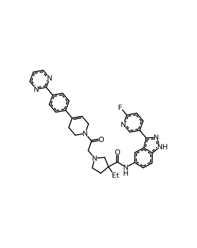 CCC1(C(=O)Nc2ccc3[nH]nc(-c4ccc(F)nc4)c3c2)CCN(CC(=O)N2CC=C(c3ccc(-c4ncccn4)cc3)CC2)C1